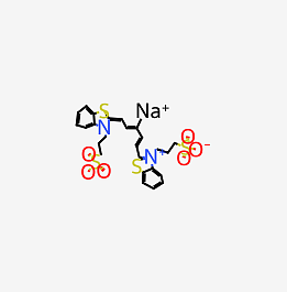 CC(C=Cc1sc2ccccc2[n+]1CCCS(=O)(=O)[O-])=CC=C1Sc2ccccc2N1CCCS(=O)(=O)[O-].[Na+]